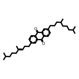 C/C(=C\CCc1ccc2c(c1)C(=O)c1ccc(CCCC(C)CCCC(C)C)cc1C2=O)CCCC(C)C